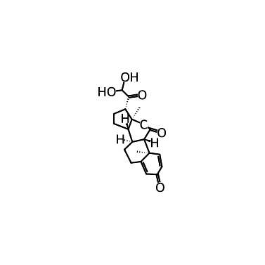 C[C@]12CC(=O)[C@H]3[C@@H](CCC4=CC(=O)C=C[C@@]43C)[C@@H]1CC[C@@H]2C(=O)C(O)O